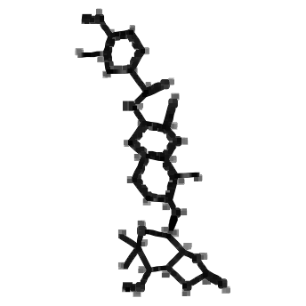 COc1ccc(C(=O)Nc2cc3ccc(O[C@@H]4OC(C)(C)C(OC)C5OC(=O)OC54)c(C)c3oc2=O)cc1C